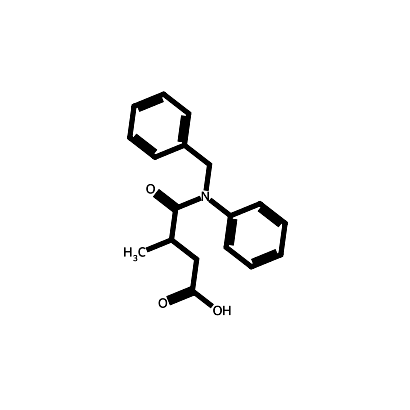 CC(CC(=O)O)C(=O)N(Cc1ccccc1)c1ccccc1